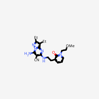 CCc1nn2c(N)c(C#N)c(NCCc3cccn(CCOC)c3=O)nc2c1CC